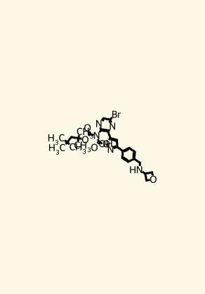 CC(C)(C)CC(C)(C)OC(=O)N(C(=O)O)c1ncc(Br)nc1-c1cc(-c2ccc(CNC3COC3)cc2)no1